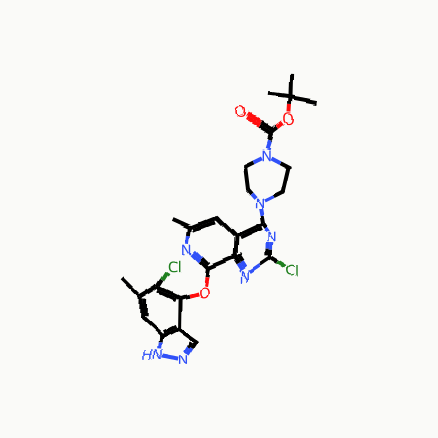 Cc1cc2c(N3CCN(C(=O)OC(C)(C)C)CC3)nc(Cl)nc2c(Oc2c(Cl)c(C)cc3[nH]ncc23)n1